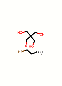 O=C(O)CCS.OCC(CO)(CO)CO